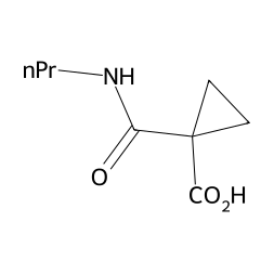 CCCNC(=O)C1(C(=O)O)CC1